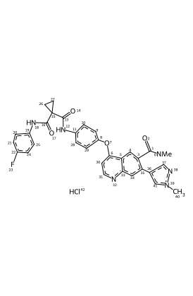 CNC(=O)c1cc2c(Oc3ccc(NC(=O)C4(C(=O)Nc5ccc(F)cc5)CC4)cc3)ccnc2cc1-c1cnn(C)c1.Cl